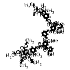 C=CCOC(=O)N[C@@H](C(C)C)C(N)[C@@H](C)C(N)c1ccc(COC(=O)Nc2cc(OCc3cccc(COc4cc(NC(=O)OCc5ccc(O[C@@H]6O[C@H](C(=O)OCC=C)[C@@H](OC(=O)OCC=C)[C@H](OC(=O)OCC=C)[C@H]6OC(=O)OCC=C)c([N+](=O)[O-])c5)c(C(=O)N5CCC[C@H]5CO)cc4OC)c3)c(OC)cc2C(=O)N2CCC[C@H]2CO)cc1